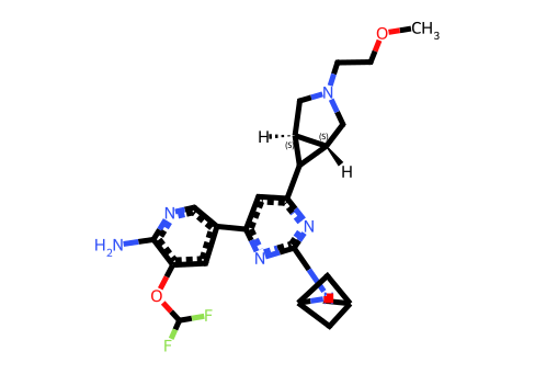 COCCN1C[C@@H]2C(c3cc(-c4cnc(N)c(OC(F)F)c4)nc(N4CC5CC4C5)n3)[C@H]2C1